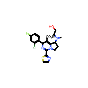 CCOC(=O)C1=C2C(N(C)CCO)CCN2C(c2nccs2)=NC1c1ccc(F)cc1Cl